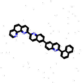 c1ccc2c(-c3ccc4cc(-c5ccc6nc(-c7ccc8ccc9cccnc9c8n7)ccc6c5)ccc4n3)cccc2c1